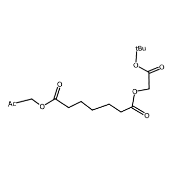 CC(=O)COC(=O)CCCCCC(=O)OCC(=O)OC(C)(C)C